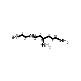 CC(C)CCNCCC(N)CCCN